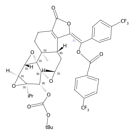 CC(C)[C@]12O[C@H]1[C@@H]1O[C@]13[C@]1(O[C@H]1C[C@H]1C4=C(CC[C@@]13C)C(=O)O/C4=C(/OC(=O)c1ccc(C(F)(F)F)cc1)c1ccc(C(F)(F)F)cc1)[C@@H]2OC(=O)OC(C)(C)C